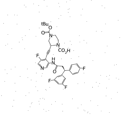 CC(C)(C)OC(=O)N1CCN(C(=O)O)C(C#Cc2c(F)cncc2NC(=O)C[C@@H](c2ccc(F)cc2)c2cc(F)cc(F)c2)C1